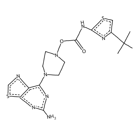 CC(C)(C)c1csc(NC(=O)ON2CCN(c3nc(N)nc4scnc34)CC2)n1